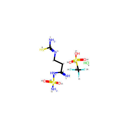 Cl.N=C(CCN=C(N)S)NS(N)(=O)=O.O=S(=O)(O)C(F)(F)F